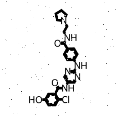 O=C(NCCN1CCCC1)c1ccc(Nc2ncc(NC(=O)c3cc(O)ccc3Cl)cn2)cc1